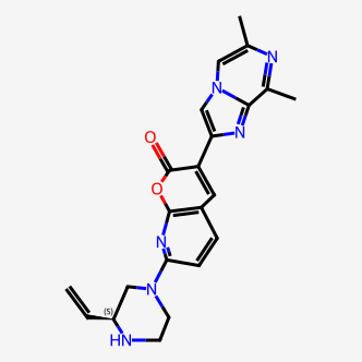 C=C[C@H]1CN(c2ccc3cc(-c4cn5cc(C)nc(C)c5n4)c(=O)oc3n2)CCN1